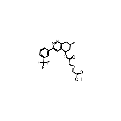 CC1Cc2nnc(-c3cccc(C(F)(F)F)c3)cc2C(OC(=O)COCC(=O)O)C1